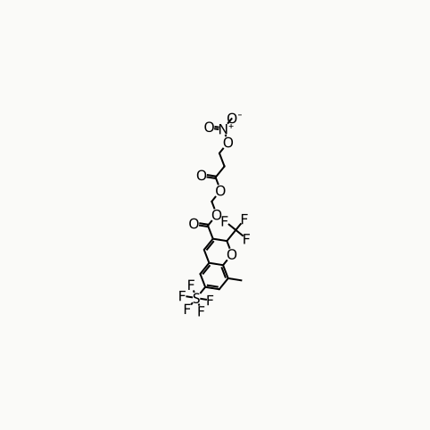 Cc1cc(S(F)(F)(F)(F)F)cc2c1OC(C(F)(F)F)C(C(=O)OCOC(=O)CCO[N+](=O)[O-])=C2